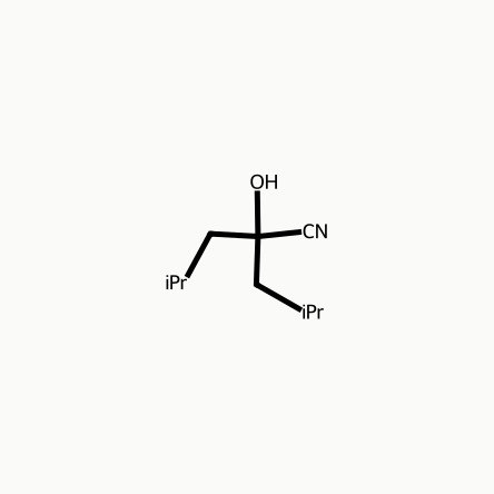 CC(C)CC(O)(C#N)CC(C)C